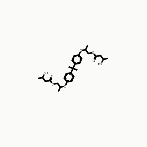 CC(S)CC(=O)OCC(C)Oc1ccc(C(C)(C)c2ccc(OC(C)COC(=O)CC(C)S)cc2)cc1